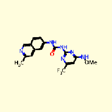 CONc1cc(C(F)(F)F)nc(NC(=O)Nc2ccc3cnc(C)cc3c2)n1